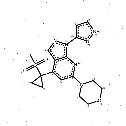 CS(=O)(=O)C1(c2cc(N3CCOCC3)nc3c2cnn3-c2cc[nH]n2)CC1